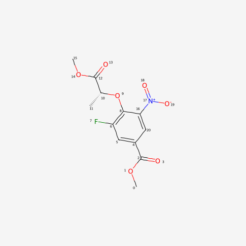 COC(=O)c1cc(F)c(O[C@H](C)C(=O)OC)c([N+](=O)[O-])c1